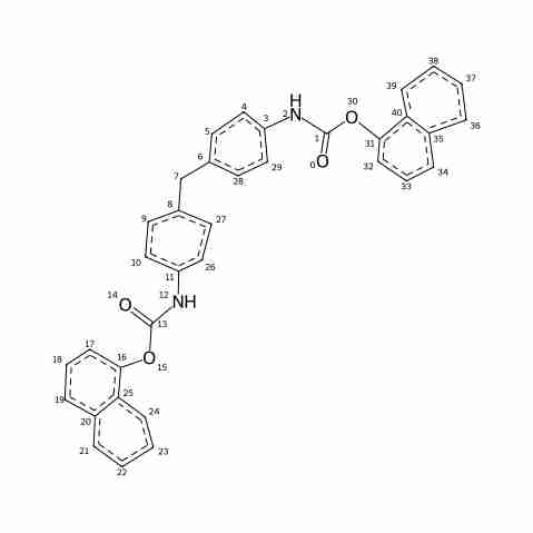 O=C(Nc1ccc(Cc2ccc(NC(=O)Oc3cccc4ccccc34)cc2)cc1)Oc1cccc2ccccc12